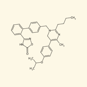 CCCCC1=NC(C)=C(c2ccc(OC(C)C)cc2)CN1Cc1ccc(-c2ccccc2-c2noc(=O)[nH]2)cc1